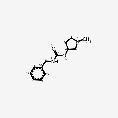 CN1CCC(OC(=O)NCc2ccccc2)C1